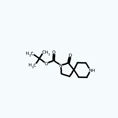 CC(C)(C)OC(=O)N1CCC2(CCNCC2)C1=O